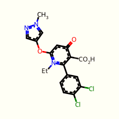 CCn1c(Oc2cnn(C)c2)cc(=O)c(C(=O)O)c1-c1ccc(Cl)c(Cl)c1